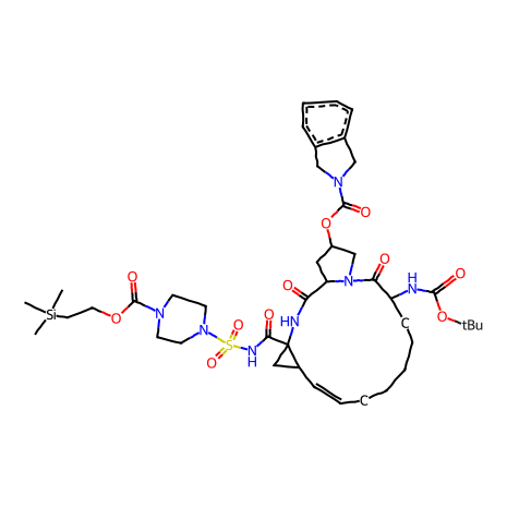 CC(C)(C)OC(=O)NC1CCCCCC=CC2CC2(C(=O)NS(=O)(=O)N2CCN(C(=O)OCC[Si](C)(C)C)CC2)NC(=O)C2CC(OC(=O)N3Cc4ccccc4C3)CN2C1=O